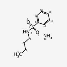 CCCCNS(=O)(=O)c1ccccc1.N